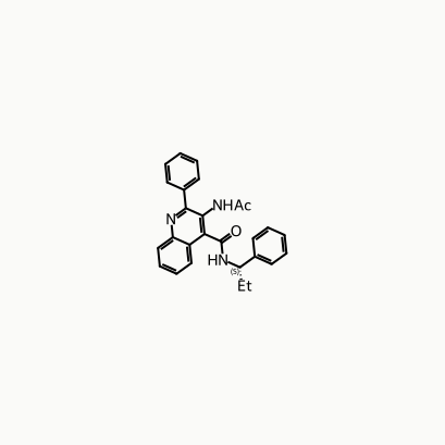 CC[C@H](NC(=O)c1c(NC(C)=O)c(-c2ccccc2)nc2ccccc12)c1ccccc1